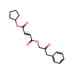 O=C(COC(=O)/C=C/C(=O)OC1CCCC1)Cc1ccccc1